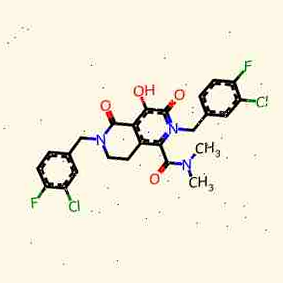 CN(C)C(=O)c1c2c(c(O)c(=O)n1Cc1ccc(F)c(Cl)c1)C(=O)N(Cc1ccc(F)c(Cl)c1)CC2